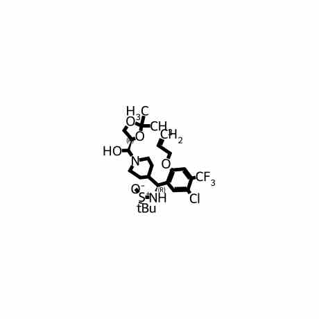 C=CCOc1cc(C(F)(F)F)c(Cl)cc1[C@H](N[S+]([O-])C(C)(C)C)C1CCN(C(O)[C@H]2COC(C)(C)O2)CC1